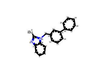 CCC(C)c1nc2ccccc2n1Cc1cccc(-c2ccccc2)c1